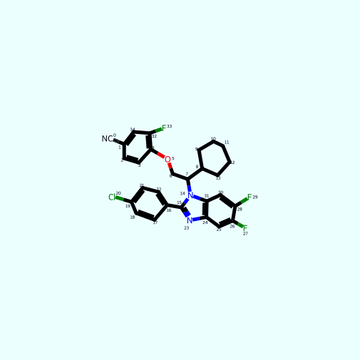 N#Cc1ccc(OCC(C2CCCCC2)n2c(-c3ccc(Cl)cc3)nc3cc(F)c(F)cc32)c(F)c1